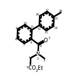 CCOC(=O)CN(C)C(=O)c1ccccc1-c1ccc(C)cc1